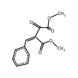 COC(=O)C(=O)C(=Cc1ccccc1)C(=O)OC